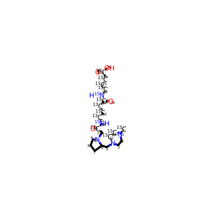 [13CH3]N1CCN(CC2CCCN2C[13C](=O)[15NH][13CH2][13CH2][13CH2][13C](=O)[15NH][13CH2][13CH2][13CH2][13C](=O)O)[13CH2][13CH2]1